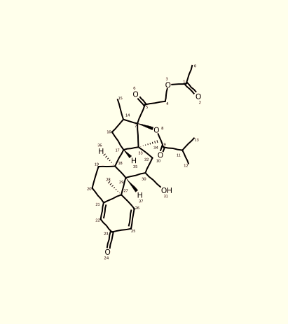 CC(=O)OCC(=O)[C@@]1(OC(=O)C(C)C)C(C)C[C@H]2[C@@H]3CCC4=CC(=O)C=C[C@]4(C)[C@H]3C(O)C[C@@]21C